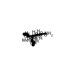 COc1cc2c(cc1OCc1cc(COc3cc4c(cc3OC)C(=O)N3c5ccccc5C[C@H]3CN4)cc(NC(=O)CNC(=O)CNC(=O)CNC(=O)CCCCC(N)=O)c1)N=C[C@@H]1Cc3ccccc3N1C2=O